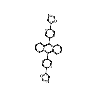 c1ccc2c(-c3ccc(-c4cnco4)nc3)c3ccccc3c(-c3ccc(-c4cnco4)nc3)c2c1